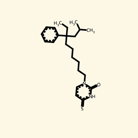 CCC(CCCCCCn1ccc(=S)[nH]c1=O)(CC(C)C)c1ccccc1